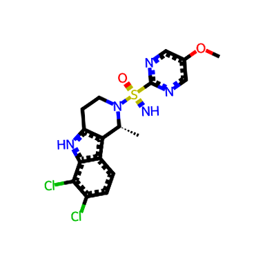 COc1cnc(S(=N)(=O)N2CCc3[nH]c4c(Cl)c(Cl)ccc4c3[C@H]2C)nc1